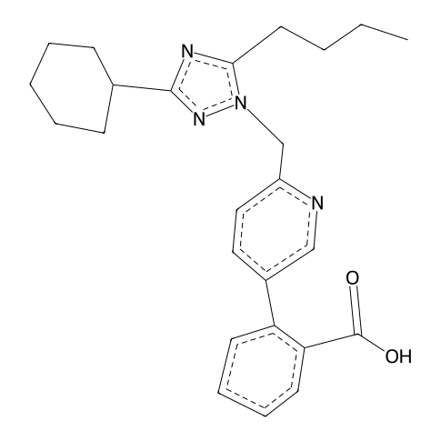 CCCCc1nc(C2CCCCC2)nn1Cc1ccc(-c2ccccc2C(=O)O)cn1